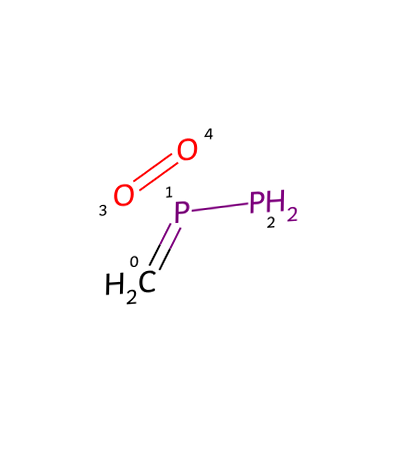 C=PP.O=O